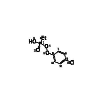 CCP(=O)(O)OOc1ccc(Cl)cc1